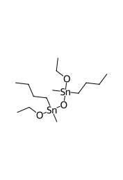 CCC[CH2][Sn]([CH3])([O]CC)[O][Sn]([CH3])([CH2]CCC)[O]CC